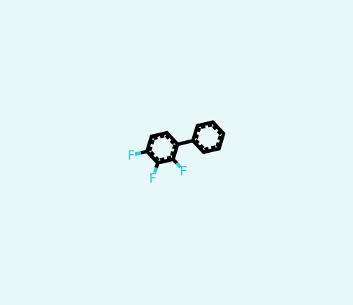 Fc1ccc(-c2ccccc2)c(F)c1F